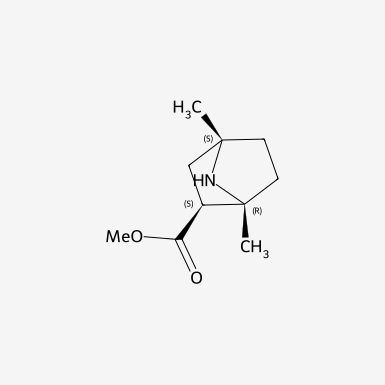 COC(=O)[C@H]1C[C@]2(C)CC[C@@]1(C)N2